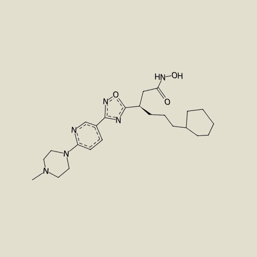 CN1CCN(c2ccc(-c3noc([C@H](CCCC4CCCCC4)CC(=O)NO)n3)cn2)CC1